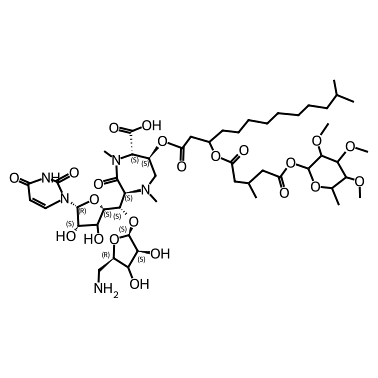 COC1C(C)OC(OC(=O)CC(C)CC(=O)OC(CCCCCCCCC(C)C)CC(=O)O[C@H]2CN(C)[C@@H]([C@H](O[C@@H]3O[C@H](CN)C(O)[C@@H]3O)[C@H]3O[C@@H](n4ccc(=O)[nH]c4=O)[C@@H](O)C3O)C(=O)N(C)[C@@H]2C(=O)O)C(OC)C1OC